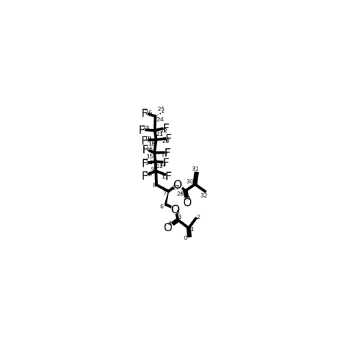 C=C(C)C(=O)OC[C@@H](CC(F)(F)C(F)(F)C(F)(F)C(F)(F)C(F)(F)[C@@H](C)F)OC(=O)C(=C)C